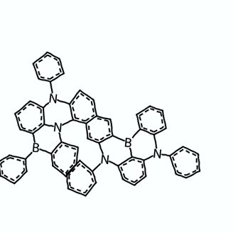 c1ccc(B2c3ccccc3N3c4c2cccc4N(c2ccccc2)c2ccc4cc5c(cc4c23)N(c2ccccc2)c2cccc3c2B5c2ccccc2N3c2ccccc2)cc1